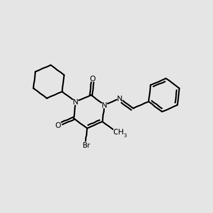 Cc1c(Br)c(=O)n(C2CCCCC2)c(=O)n1/N=C/c1ccccc1